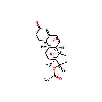 CC[C@]1(OC(=O)C(C)(C)C)CC[C@]2(O)[C@@H]3C=CC4=CC(=O)CC[C@]4(CO)[C@H]3CC[C@]12C